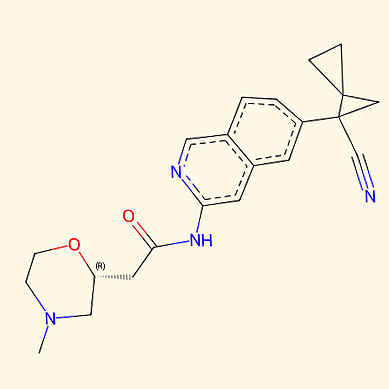 CN1CCO[C@H](CC(=O)Nc2cc3cc(C4(C#N)CC45CC5)ccc3cn2)C1